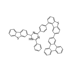 c1ccc(C2=NC(c3ccc(-c4cccc5sc6ccc(-c7ccc8c9ccccc9c9ccccc9c8c7)cc6c45)cc3)=NC(c3ccc4c(c3)sc3ccccc34)N2)cc1